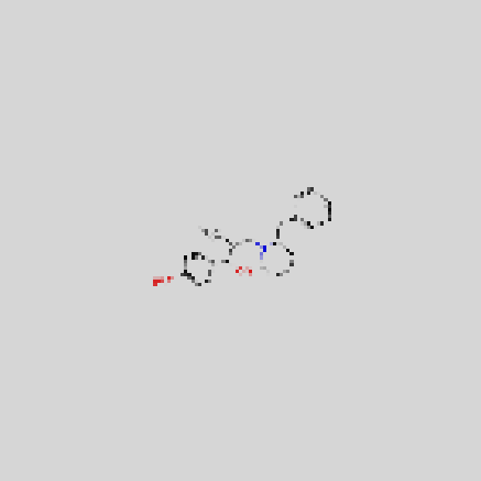 CC(CN1CCCCC1Cc1ccccc1)C(O)c1ccc(O)cc1